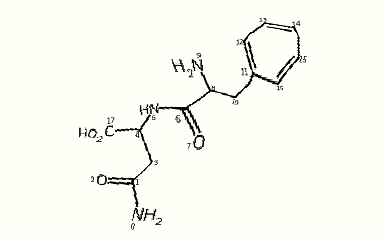 NC(=O)CC(NC(=O)C(N)Cc1ccccc1)C(=O)O